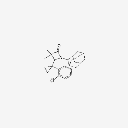 CC1(C)C(=O)N(C2C3CC4CC(C3)CC2C4)C1C1(c2ccccc2Cl)CC1